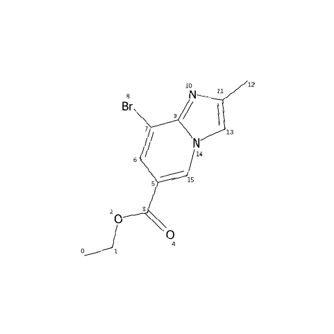 CCOC(=O)c1cc(Br)c2nc(C)cn2c1